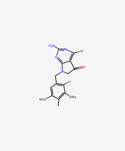 COc1cc(CN2CC(=O)c3c(Br)nc(N)nc32)c(Cl)c(OC)c1C